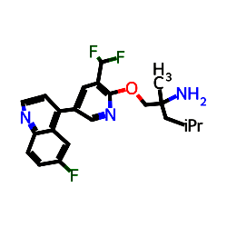 CC(C)CC(C)(N)COc1ncc(-c2ccnc3ccc(F)cc23)cc1C(F)F